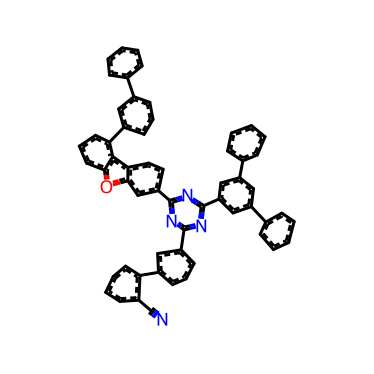 N#Cc1ccccc1-c1cccc(-c2nc(-c3cc(-c4ccccc4)cc(-c4ccccc4)c3)nc(-c3ccc4c(c3)oc3cccc(-c5cccc(-c6ccccc6)c5)c34)n2)c1